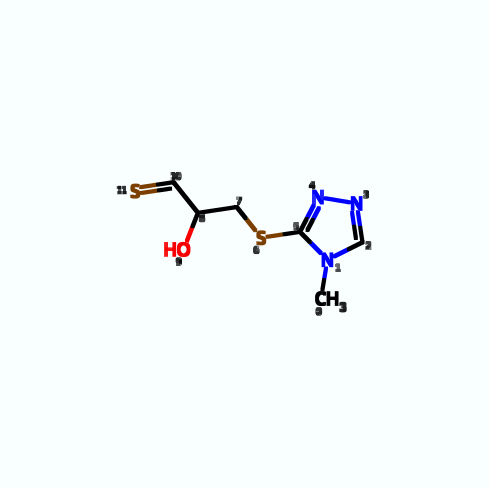 Cn1cnnc1SCC(O)C=S